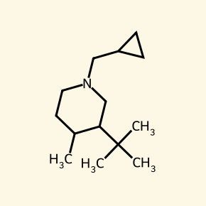 CC1CCN(CC2CC2)CC1C(C)(C)C